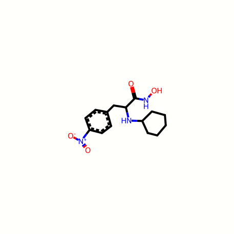 O=C(NO)C(Cc1ccc([N+](=O)[O-])cc1)NC1CCCCC1